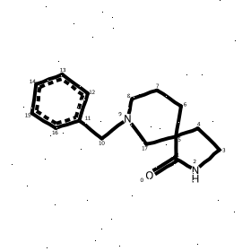 O=C1NCCC12CCCN(Cc1ccccc1)C2